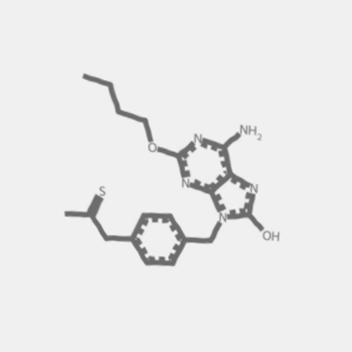 CCCCOc1nc(N)c2nc(O)n(Cc3ccc(CC(C)=S)cc3)c2n1